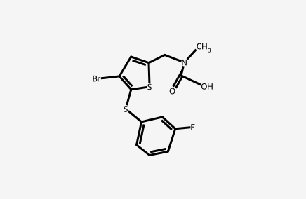 CN(Cc1cc(Br)c(Sc2cccc(F)c2)s1)C(=O)O